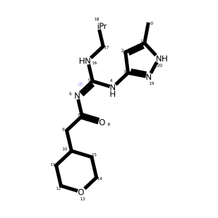 Cc1cc(N/C(=N\C(=O)CC2CCOCC2)NCC(C)C)n[nH]1